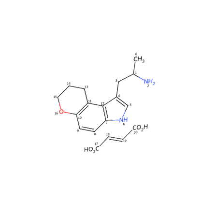 CC(N)Cc1c[nH]c2ccc3c(c12)CCCO3.O=C(O)C=CC(=O)O